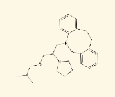 CC(C)COCC(CN1Cc2ccccc2CCc2ccccc21)N1CCCC1